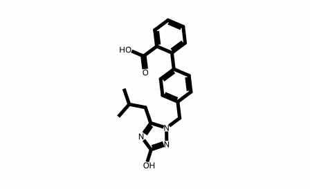 CC(C)Cc1nc(O)nn1Cc1ccc(-c2ccccc2C(=O)O)cc1